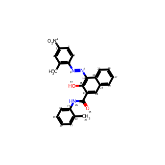 Cc1cc([N+](=O)[O-])ccc1/N=N/c1c(O)c(C(=O)Nc2ccccc2C)cc2ccccc12